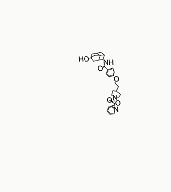 O=C(NC1C2CC3CC1CC(O)(C3)C2)c1ccc(OCCC2CCN(S(=O)(=O)c3ccccn3)CC2)cc1